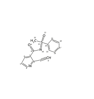 C#Cc1ncccc1C(=O)N=S(C)(=O)c1ccccc1